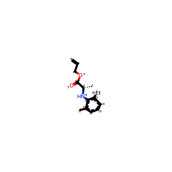 C=CCOC(=O)[C@H](C)Nc1c(C)cccc1CC